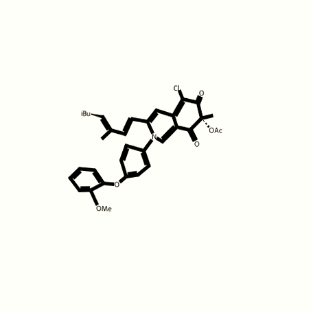 CC[C@H](C)/C=C(C)/C=C/C1=CC2=C(Cl)C(=O)[C@](C)(OC(C)=O)C(=O)C2=CN1c1ccc(Oc2ccccc2OC)cc1